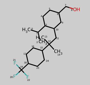 CC(C)C1CCC(CO)CC1CC(C)(C)C1CCC(C(F)(F)F)CC1